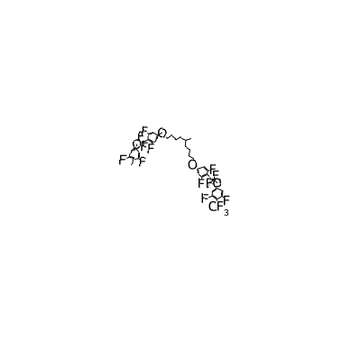 Cc1c(F)cc(OC(F)(F)c2c(F)cc(OCCCCC(C)CCCCOc3cc(F)c(C(F)(F)Oc4cc(F)c(C(F)(F)F)c(F)c4)c(F)c3)cc2F)cc1F